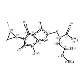 CCCn1c(=O)n([C@H]2C[C@@H]2C)c(=O)c2c(C)c(CN(NC(=O)OC(C)(C)C)C(N)=O)sc21